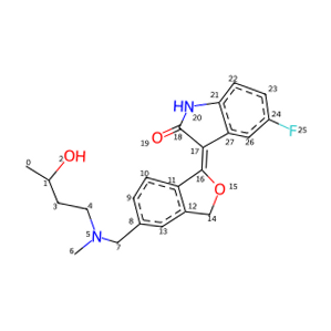 CC(O)CCN(C)Cc1ccc2c(c1)CO/C2=C1/C(=O)Nc2ccc(F)cc21